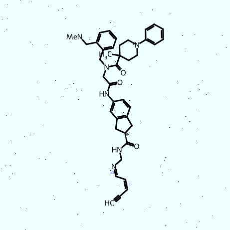 C#C/C=C\C=N/CNC(=O)[C@@H]1Cc2ccc(NC(=O)CN(Cc3ccccc3CNC)C(=O)C3(C)CCN(c4ccccc4)CC3)cc2C1